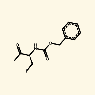 CC(=O)[C@H](CI)NC(=O)OCc1ccccc1